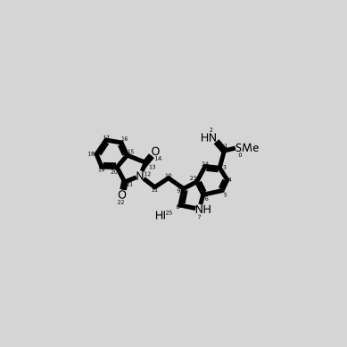 CSC(=N)c1ccc2[nH]cc(CCN3C(=O)c4ccccc4C3=O)c2c1.I